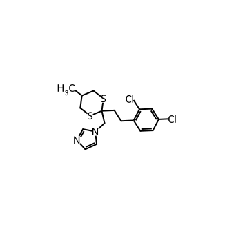 CC1CSC(CCc2ccc(Cl)cc2Cl)(Cn2ccnc2)SC1